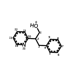 OCC(Cc1ccccc1)c1ccccn1